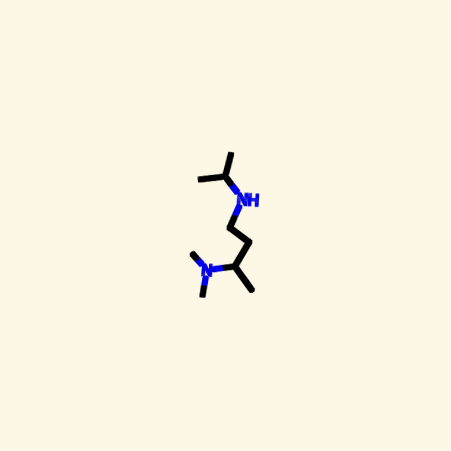 CC(C)NCCC(C)N(C)C